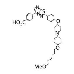 COCCCCCCOC1CCC(N2CCC(Oc3ccc(-c4nn5c(-c6ccc(C(=O)O)cc6)cnc5s4)cc3)CC2)CC1